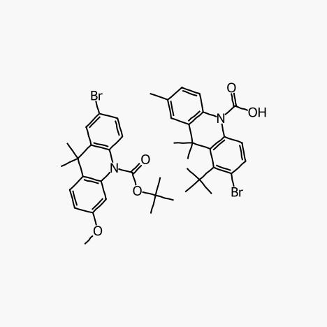 COc1ccc2c(c1)N(C(=O)OC(C)(C)C)c1ccc(Br)cc1C2(C)C.Cc1ccc2c(c1)C(C)(C)c1c(ccc(Br)c1C(C)(C)C)N2C(=O)O